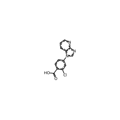 O=C(O)c1ccc(-n2cnc3ncccc32)cc1Cl